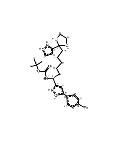 CC(C)(C)OC(=O)N[C@@H](CCCCCC1(c2ccon2)OCCO1)c1cc(-c2ccc(F)cc2)on1